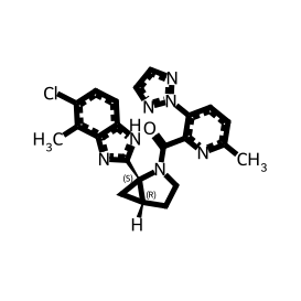 Cc1ccc(-n2nccn2)c(C(=O)N2CC[C@@H]3C[C@@]32c2nc3c(C)c(Cl)ccc3[nH]2)n1